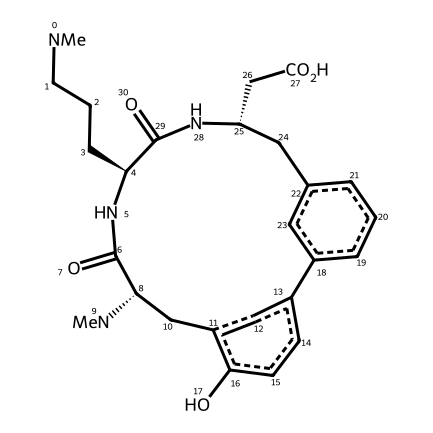 CNCCC[C@@H]1NC(=O)[C@@H](NC)Cc2cc(ccc2O)-c2cccc(c2)C[C@@H](CC(=O)O)NC1=O